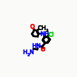 CC1=C(Nc2cc(C(=O)NCCN)ccc2Cl)CCCC1=O